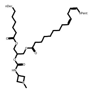 CCCCC/C=C\C/C=C\CCCCCCCC(=O)OCC(COC(=O)CCCCCCCCCCCCCCC)OC(=O)NC1CN(C)C1